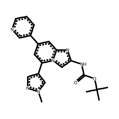 Cn1cc(-c2cc(-c3cccnc3)cc3nc(NC(=O)OC(C)(C)C)cn23)cn1